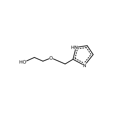 OCCOCc1ncc[nH]1